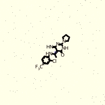 C/C(Nc1ccc(C(F)(F)F)cc1Cl)=C1/C(=N)N=C(N2CCCC2)NC1=O